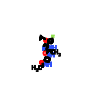 CCC(=O)NC1CCC(NC(=O)c2c(C)[nH]c3c(-c4ccc(F)cc4OCC4CC4)ccnc23)CC1